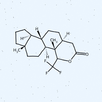 C[C@@]12CCC[C@H]1[C@@H]1CC[C@H]3CC(=O)OC(C(F)(F)F)[C@]3(C)[C@H]1CC2